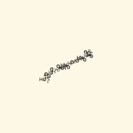 CCC(CO)OC(COC(=O)CCCC(=O)NCCNC(=O)CCOCCOCCNC(=O)CCN1C(=O)C=CC1=O)OC